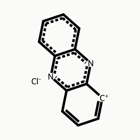 [C+]1=CC=Cc2nc3ccccc3nc21.[Cl-]